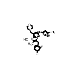 Cc1cc(Nc2cc(CN3CCOCC3)c3nc(C)c(Cc4ccc(Cl)cc4F)n3n2)n[nH]1.Cl